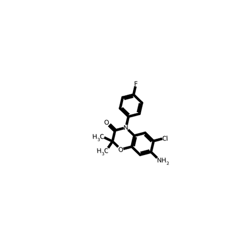 CC1(C)Oc2cc(N)c(Cl)cc2N(c2ccc(F)cc2)C1=O